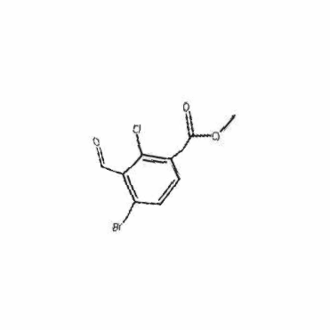 COC(=O)c1ccc(Br)c(C=O)c1Cl